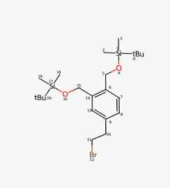 CC(C)(C)[Si](C)(C)OCc1ccc(CCBr)cc1CO[Si](C)(C)C(C)(C)C